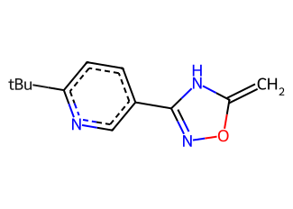 C=C1NC(c2ccc(C(C)(C)C)nc2)=NO1